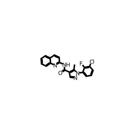 Cc1c(C(=O)Nc2ccc3ccccc3n2)cnn1-c1cccc(Cl)c1F